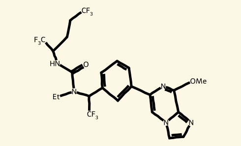 CCN(C(=O)NC(CCC(F)(F)F)C(F)(F)F)C(c1cccc(-c2cn3ccnc3c(OC)n2)c1)C(F)(F)F